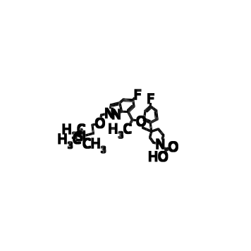 CC(OCC1(c2ccc(F)cc2)CCN(C(=O)O)CC1)c1cc(F)cc2cn(COCC[Si](C)(C)C)nc12